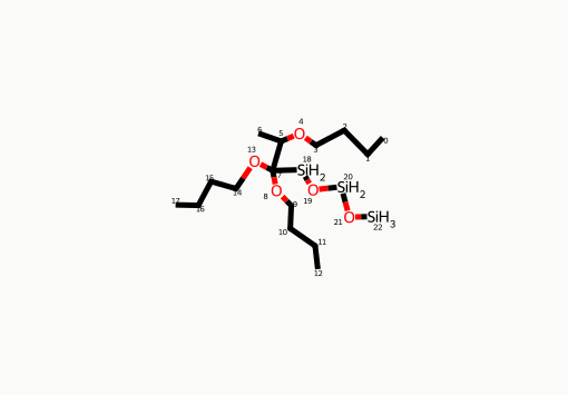 CCCCOC(C)C(OCCCC)(OCCCC)[SiH2]O[SiH2]O[SiH3]